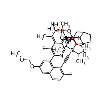 COCOc1cc(-c2ncc3c(N4CC5CCC(C4)N5C(=O)OC(C)(C)C)nc(N)c(C)c3c2F)c2c(C#C[Si](C(C)C)(C(C)C)C(C)C)c(F)ccc2c1